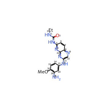 CCNC(=O)Nc1ccc2ncc(Nc3ccc(OC)c(N)c3)nc2n1